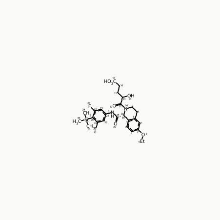 CCOc1ccc2c(c1)CCN(C(=O)C(O)CCC(=O)O)[C@H]2C(=O)Nc1cc(F)c([Si](C)(C)C)c(F)c1